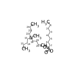 CCCCCCCCS(=O)(=O)[O-].CCCC[N+](C)(CCCC)CCCC